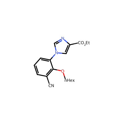 CCCCCCOc1c(C#N)cccc1-n1cnc(C(=O)OCC)c1